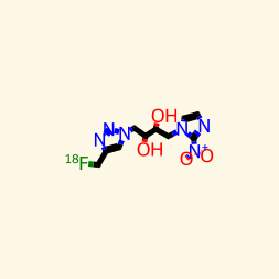 O=[N+]([O-])c1nccn1CC(O)C(O)Cn1cc(C[18F])nn1